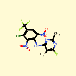 Cc1nc(F)c(C)c(Nc2c([N+](=O)[O-])cc(C(F)(F)F)c(Cl)c2[N+](=O)[O-])n1